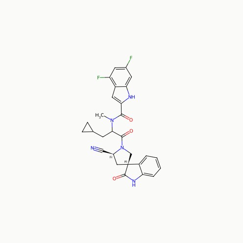 CN(C(=O)c1cc2c(F)cc(F)cc2[nH]1)C(CC1CC1)C(=O)N1C[C@]2(C[C@H]1C#N)C(=O)Nc1ccccc12